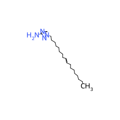 CCCCCCCCC=CCCCCCCCCn1cnc(N)n1